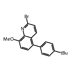 COc1ccc(-c2ccc(C(C)(C)C)cc2)c2ccc(Br)nc12